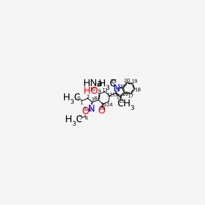 CCCC(=NOCC)C1=C(O)CC(c2c(C)c3ccccc3n2C)CC1=O.[NaH]